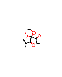 C=C(C)C(=O)C1(C(=O)CC)OCCO1